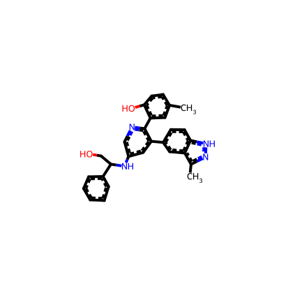 Cc1ccc(O)c(-c2ncc(NC(CO)c3ccccc3)cc2-c2ccc3[nH]nc(C)c3c2)c1